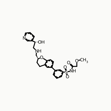 COCC(=O)NS(=O)(=O)c1cccc(-c2ccc3c(c2)CC[C@@H](CNC[C@@H](O)c2cccnc2)O3)c1